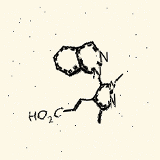 Cc1nn(C)c(-n2ncc3ccccc32)c1C=CC(=O)O